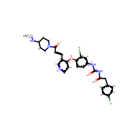 O=C(O)NC1CCN(C(=O)C=Cc2cnccc2Oc2ccc(NC(=O)NC(=O)Cc3ccc(F)cc3)cc2F)CC1